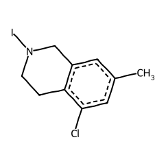 Cc1cc(Cl)c2c(c1)CN(I)CC2